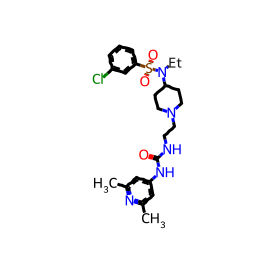 CCN(C1CCN(CCNC(=O)Nc2cc(C)nc(C)c2)CC1)S(=O)(=O)c1cccc(Cl)c1